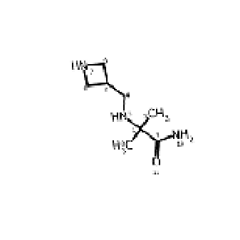 CC(C)(NCC1CNC1)C(N)=O